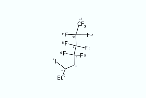 CCC(I)CC(F)(F)C(F)(F)C(F)(F)C(F)(F)F